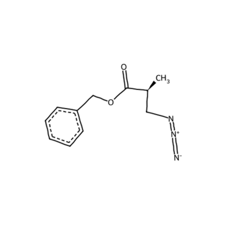 C[C@@H](CN=[N+]=[N-])C(=O)OCc1ccccc1